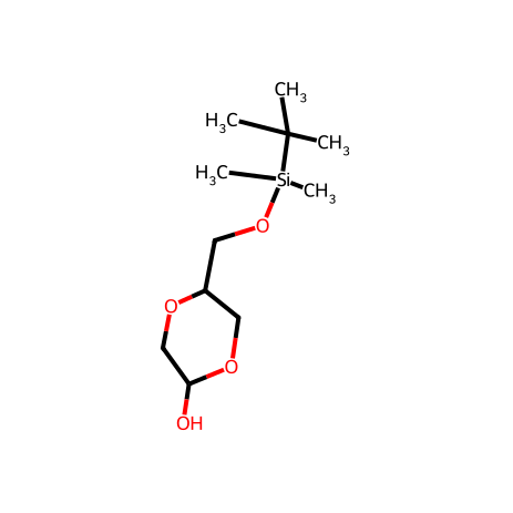 CC(C)(C)[Si](C)(C)OCC1COC(O)CO1